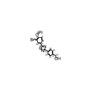 CC(C)Oc1ccc(-c2nc(-c3ccc(CO)cc3)no2)cc1Br